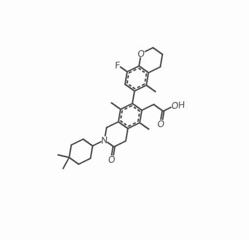 Cc1c(-c2c(C)c3c(c(C)c2CC(=O)O)CC(=O)N(C2CCC(C)(C)CC2)C3)cc(F)c2c1CCCO2